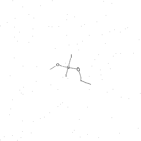 CCO[Si](I)(I)OC